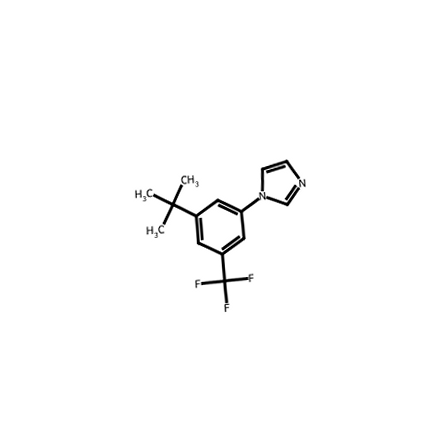 CC(C)(C)c1cc(-n2ccnc2)cc(C(F)(F)F)c1